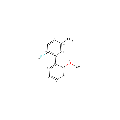 COc1ccccc1-c1cc(C)ccc1F